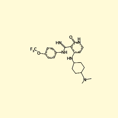 CN(C)C1CCC(Nc2cc[nH]c(=O)c2C(=N)Nc2ccc(OC(F)(F)F)cc2)CC1